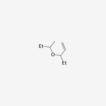 C=CC(CC)OC(C)CC